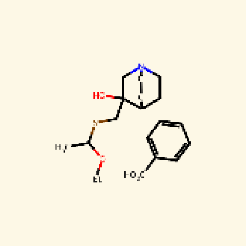 CCOC(C)SCC1(O)CN2CCC1CC2.O=C(O)c1ccccc1